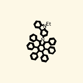 CCn1c2ccccc2c2cc(-n3c(-c4ccccc4)c4c(c3-c3ccccc3)C(C3=CCCC=C3)C(c3ccccc3)C(c3ccccc3)=C4c3ccccc3)ccc21